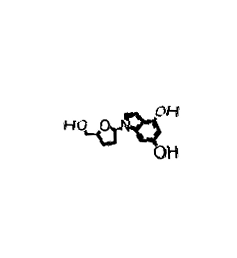 OC[C@@H]1CC[C@H](n2ccc3c(O)cc(O)cc32)O1